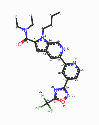 CCCCn1c(C(=O)N(CC)CC)cc2cc(-c3cc(-c4noc(C(F)(F)F)n4)ccn3)ncc21